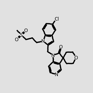 CS(=O)(=O)CCCn1c(CN2C(=O)C3(CCOCC3)c3cnccc32)cc2cc(Cl)ccc21